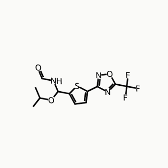 CC(C)OC(NC=O)c1ccc(-c2noc(C(F)(F)F)n2)s1